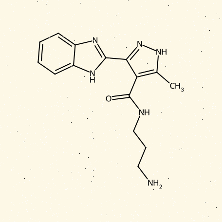 Cc1[nH]nc(-c2nc3ccccc3[nH]2)c1C(=O)NCCCN